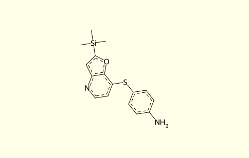 C[Si](C)(C)c1cc2nccc(Sc3ccc(N)cc3)c2o1